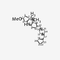 COc1ccc2c(c1)Nc1ccc(CN3CCN(Cc4ccccc4)CC3)cc1C2(C)C